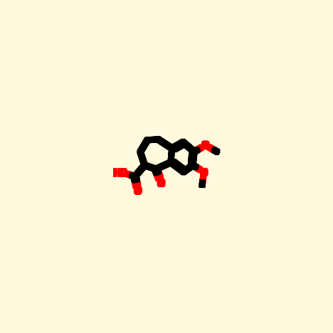 COc1cc2c(cc1OC)C(=O)C(C(=O)O)CCC2